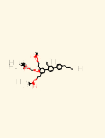 C=C(C)C(=O)OCCCc1cc(-c2ccc(-c3ccc(CCCCC)cc3)cc2CC)cc(CCCOC(=O)C(=C)C)c1OCCCO[Si](C)(C)C(C)(C)C